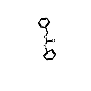 O=C([N]c1ccccc1)OCc1ccccc1